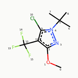 COc1nn(C(C)(C)C)c(Cl)c1C(F)(F)F